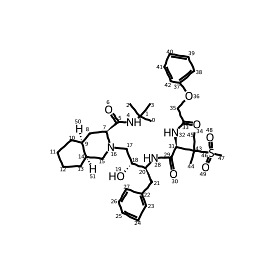 CC(C)(C)NC(=O)[C@@H]1C[C@@H]2CCCC[C@@H]2CN1C[C@@H](O)[C@H](Cc1ccccc1)NC(=O)[C@@H](NC(=O)COc1ccccc1)C(C)(C)S(C)(=O)=O